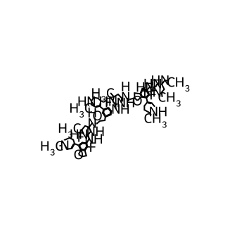 CNC1CC(C)NC(Nc2cc3c(c(C4=CCN[C@@H](C)CC4)c2F)OC(CNC2CC(C)NC(Nc4cc5c(c(C6=C[C@H](C)NCCC6)c4F)OC(CNC4CC(C)NC(Nc6c(F)c7c(c(C8=CCN(C)CCC8)c6F)OCC7)N4)C5)N2)C3)N1